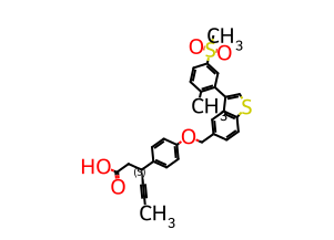 CC#C[C@@H](CC(=O)O)c1ccc(OCc2ccc3scc(-c4cc(S(C)(=O)=O)ccc4C)c3c2)cc1